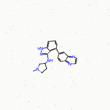 CN1CCC(Nc2n[nH]c3cccc(-c4ccc5nccnc5c4)c23)C1